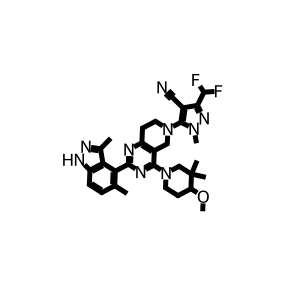 COC1CCN(c2nc(-c3c(C)ccc4[nH]nc(C)c34)nc3c2CN(c2c(C#N)c(C(F)F)nn2C)CC3)CC1(C)C